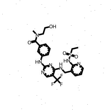 CCS(=O)(=O)Nc1ncccc1CNc1nc(Nc2cccc(C(=O)N(C)CCO)c2)ncc1C(F)(F)F